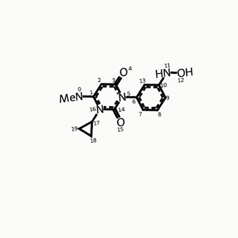 CNc1cc(=O)n(-c2cccc(NO)c2)c(=O)n1C1CC1